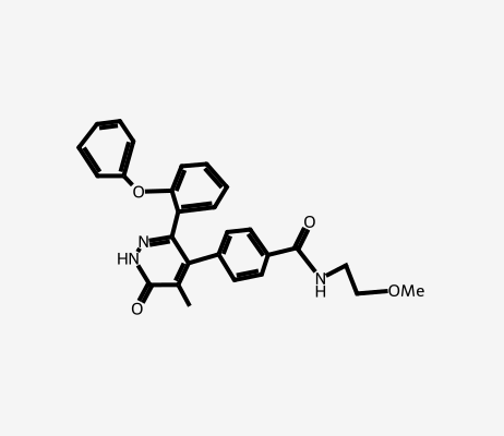 COCCNC(=O)c1ccc(-c2c(-c3ccccc3Oc3ccccc3)n[nH]c(=O)c2C)cc1